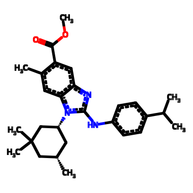 COC(=O)c1cc2nc(Nc3ccc(C(C)C)cc3)n([C@@H]3C[C@H](C)CC(C)(C)C3)c2cc1C